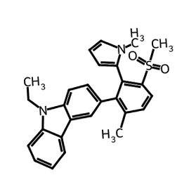 CCn1c2ccccc2c2cc(-c3c(C)ccc(S(C)(=O)=O)c3-c3cccn3C)ccc21